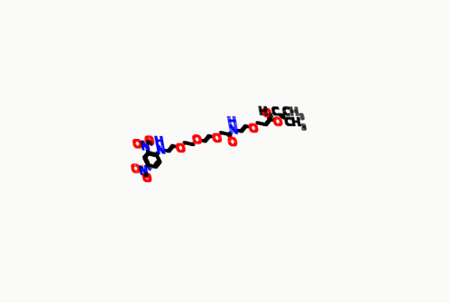 CC(C)(C)OC(=O)CCOCCNC(=O)COCCOCCOCCNc1ccc([N+](=O)[O-])cc1[N+](=O)[O-]